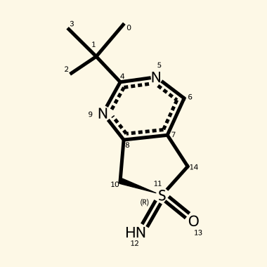 CC(C)(C)c1ncc2c(n1)C[S@](=N)(=O)C2